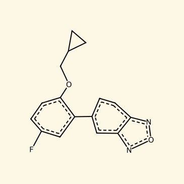 Fc1ccc(OCC2CC2)c(-c2ccc3nonc3c2)c1